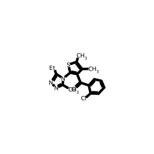 CCc1nnc(C)n1-c1sc(C)c(C)c1C(=O)c1ccccc1Cl